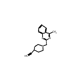 C#CC1CCN(Cc2nc(C)c3ccccc3n2)CC1